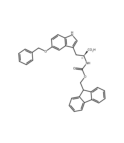 O=C(N[C@@H](Cc1c[nH]c2ccc(OCc3ccccc3)cc12)C(=O)O)OCC1c2ccccc2-c2ccccc21